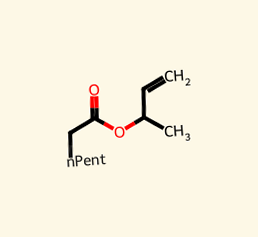 C=CC(C)OC(=O)CCCCCC